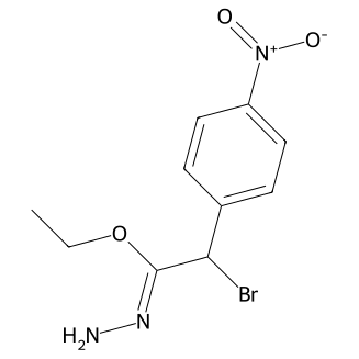 CCOC(=NN)C(Br)c1ccc([N+](=O)[O-])cc1